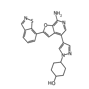 Nc1ncc(-c2cnn(C3CCC(O)CC3)c2)c2cc(-c3cccc4cnsc34)oc12